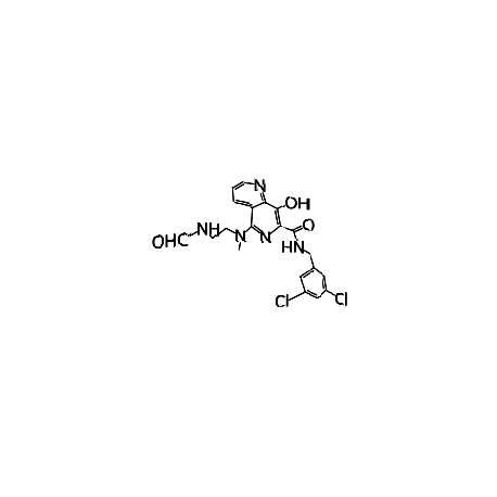 CN(CCNC=O)c1nc(C(=O)NCc2cc(Cl)cc(Cl)c2)c(O)c2ncccc12